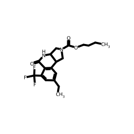 CCCCOC(=O)N1CC2NC(=O)c3c(cc(CC)cc3C(F)(F)F)C2C1